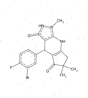 Cn1[nH]c(=O)c2c1NC1=C(C(=O)C(C)(C)C1)C2c1ccc(F)c(Br)c1